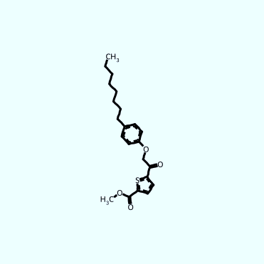 CCCCCCCCc1ccc(OCC(=O)c2ccc(C(=O)OC)s2)cc1